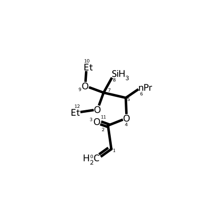 C=CC(=O)OC(CCC)C([SiH3])(OCC)OCC